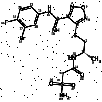 C[C@@H](CSc1nonc1C(=N)Nc1ccc(F)c(Br)c1)NC(=O)CS(N)(=O)=O